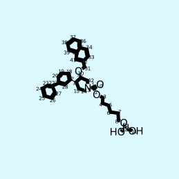 O=C(OCCCCCCON(O)O)N1CC[C@H](c2cccc(-c3ccccc3)c2)[C@@H](OCc2ccc3ccccc3c2)C1